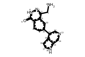 NCc1n[nH]c(=O)c2ccc(-c3cncc4[nH]ccc34)cc12